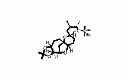 C[C@H](C[C@]1(O)CC[C@@H]2O[C@@H]3C[C@]2(CC[C@H]2OC(C)(C)O[C@@H]32)O1)[C@H](C)O[Si](C)(C)C(C)(C)C